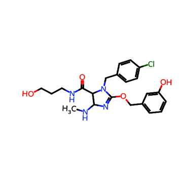 CNC1N=C(OCc2cccc(O)c2)N(Cc2ccc(Cl)cc2)C1C(=O)NCCCO